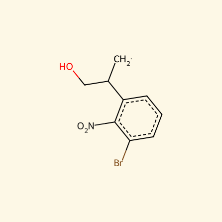 [CH2]C(CO)c1cccc(Br)c1[N+](=O)[O-]